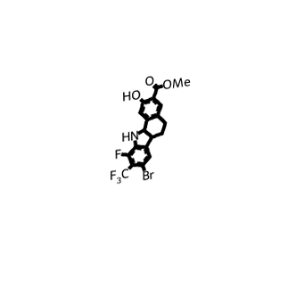 COC(=O)c1cc2c(cc1O)C1Nc3c(cc(Br)c(C(F)(F)F)c3F)C1CC2